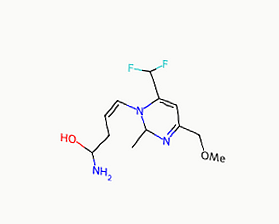 COCC1=NC(C)N(/C=C\CC(N)O)C(C(F)F)=C1